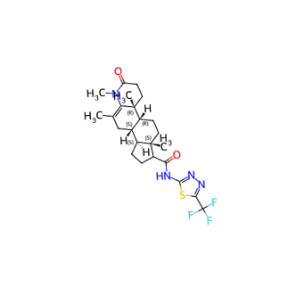 CC1=C2N(C)C(=O)CC[C@]2(C)[C@@H]2CC[C@]3(C)C(C(=O)Nc4nnc(C(F)(F)F)s4)CC[C@H]3[C@@H]2C1